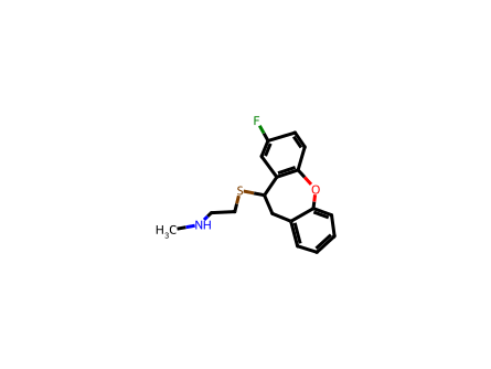 CNCCSC1Cc2ccccc2Oc2ccc(F)cc21